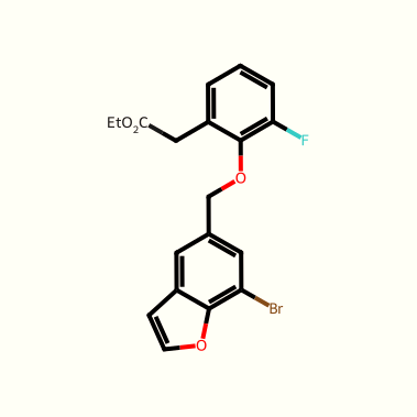 CCOC(=O)Cc1cccc(F)c1OCc1cc(Br)c2occc2c1